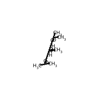 CCCCCC(CCCCC)CC(=O)OCCCCCCCCCCC(CCCCCCCCCCOC(=O)CC(CCCCC)CCCCC)NC(=O)CNCC